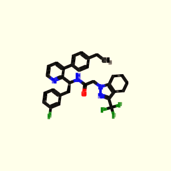 CCc1ccc(-c2cccnc2[C@H](Cc2cccc(F)c2)NC(=O)Cn2nc(C(F)(F)F)c3c2CCCC3)cc1